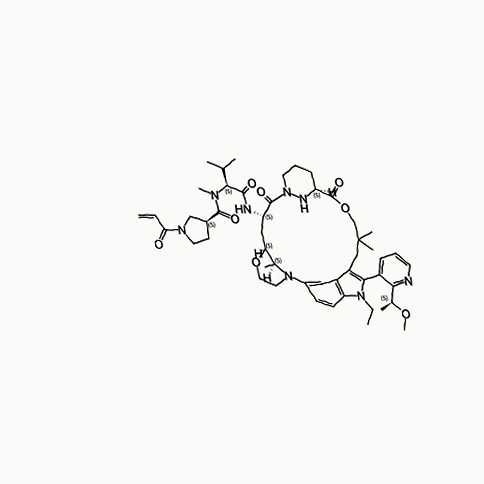 C=CC(=O)N1CC[C@H](C(=O)N(C)[C@H](C(=O)N[C@H]2C[C@@H]3OCCN(c4ccc5c(c4)c(c(-c4cccnc4[C@H](C)OC)n5CC)CC(C)(C)COC(=O)[C@@H]4CCCN(N4)C2=O)[C@H]3C)C(C)C)C1